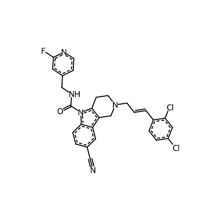 N#Cc1ccc2c(c1)c1c(n2C(=O)NCc2ccnc(F)c2)CCN(C/C=C/c2ccc(Cl)cc2Cl)C1